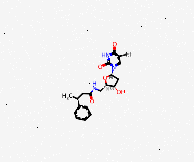 CCc1cn([C@H]2C[C@H](O)[C@@H](CNC(=O)CC(C)c3ccccc3)O2)c(=O)[nH]c1=O